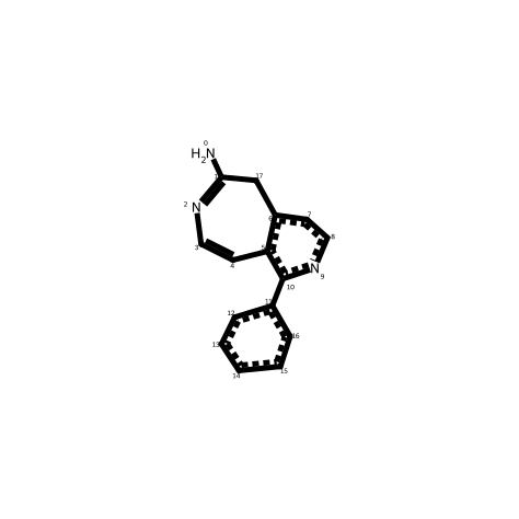 NC1=NC=Cc2c(ccnc2-c2ccccc2)C1